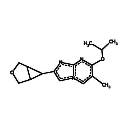 Cc1cn2cc(C3C4COCC43)nc2nc1OC(C)C